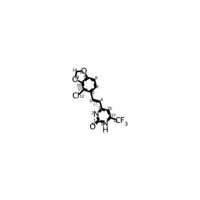 O=c1nc(/C=C/c2ccc3c(c2Cl)OCO3)cc(C(F)(F)F)[nH]1